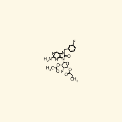 CCC(=O)O[C@H]1O[C@@H](n2c(=O)n(Cc3cccc(F)c3)c3cnc(N)nc32)[C@H](OC(C)=O)[C@H]1F